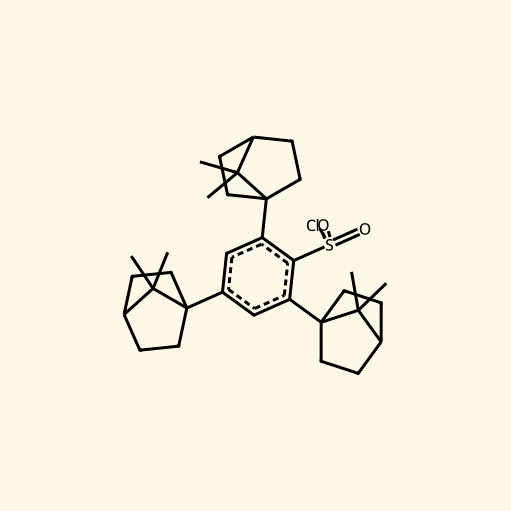 CC1(C)C2CCC1(c1cc(C34CCC(CC3)C4(C)C)c(S(=O)(=O)Cl)c(C34CCC(CC3)C4(C)C)c1)CC2